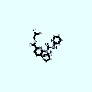 O=C(NCC(F)F)c1ccc2c(n1)N(C(=O)Nc1ccccn1)[C@H]1CCN2C1